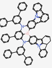 C1=Cc2c3n(c4cc5c(cc24)B2c4cc6c7cccc8c9ccccc9n(c6cc4N(c4cc(-c6ccccc6)cc(-c6ccccc6)c4)c4cc(-c6ccccc6)cc(c42)N5c2cc(-c4ccccc4)cc(-c4ccccc4)c2)c87)-c2ccccc2C3C1